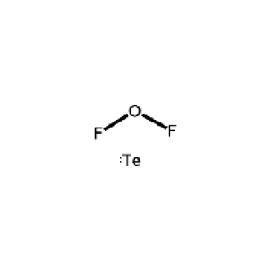 FOF.[Te]